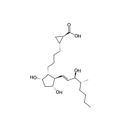 CCCC[C@@H](C)[C@H](O)/C=C/[C@@H]1[C@@H](CCCC[C@@H]2C[C@H]2C(=O)O)[C@@H](O)C[C@H]1O